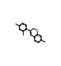 Cc1ccc(C2=Cc3ccc(C)cc3OC2)c(C)c1